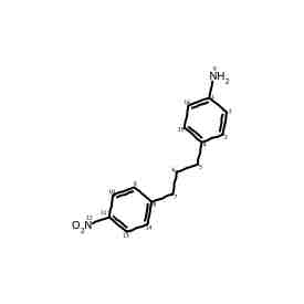 Nc1ccc(CCCc2ccc([N+](=O)[O-])cc2)cc1